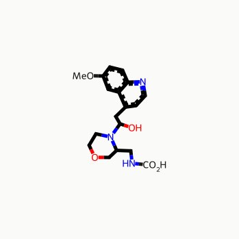 COc1ccc2nccc(CC(O)N3CCOCC3CNC(=O)O)c2c1